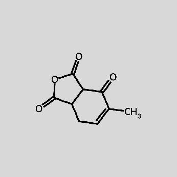 CC1=CCC2C(=O)OC(=O)C2C1=O